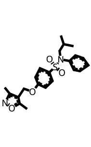 Cc1noc(C)c1COc1ccc(S(=O)(=O)N(CC(C)C)c2ccccc2)cc1